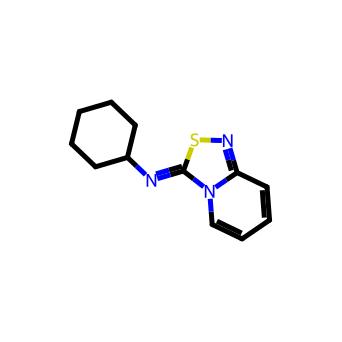 c1ccn2c(=NC3CCCCC3)snc2c1